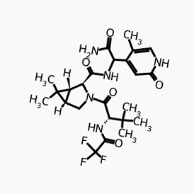 Cc1c[nH]c(=O)cc1C(NC(=O)[C@@H]1[C@@H]2[C@H](CN1C(=O)[C@@H](NC(=O)C(F)(F)F)C(C)(C)C)C2(C)C)C(N)=O